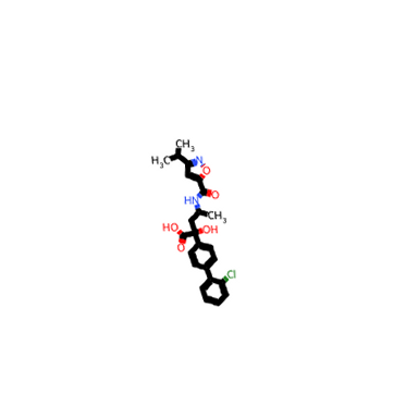 CC(CC(O)(C(=O)O)c1ccc(-c2ccccc2Cl)cc1)NC(=O)c1cc(C(C)C)no1